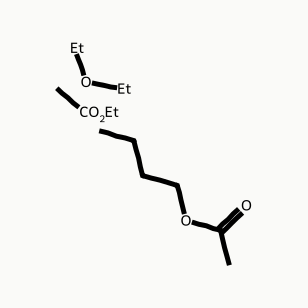 CCCCOC(C)=O.CCOC(C)=O.CCOCC